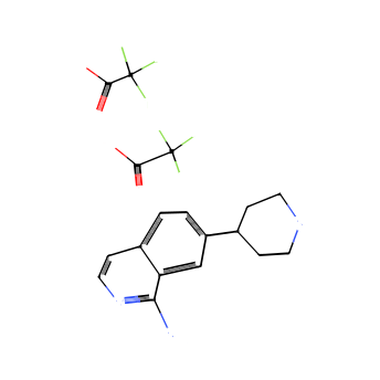 Nc1nccc2ccc(C3CCNCC3)cc12.O=C(O)C(F)(F)F.O=C(O)C(F)(F)F